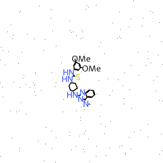 COc1cc(NC(=S)N[C@H]2CC[C@@H](Nc3nc(N(C)C)c4ccccc4n3)CC2)cc(OC)c1